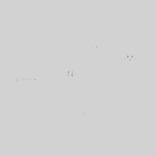 CCCCCCc1cc2cccc(C(=O)OC)c2[nH]1